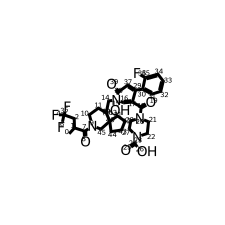 CC(CC(F)(F)F)C(=O)N1CC[C@@](O)(Cn2cc(C(=O)N3CCN(C(=O)O)CC3)c(-c3ccccc3F)cc2=O)C2(CCCC2)C1